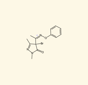 CC1=NN(C)C(=O)C1(Br)/C(C)=N\Oc1ccccc1